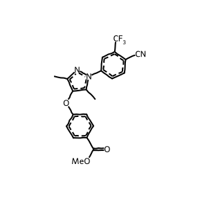 COC(=O)c1ccc(Oc2c(C)nn(-c3ccc(C#N)c(C(F)(F)F)c3)c2C)cc1